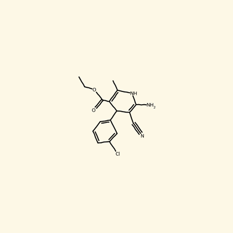 CCOC(=O)C1=C(C)NC(N)=C(C#N)C1c1cccc(Cl)c1